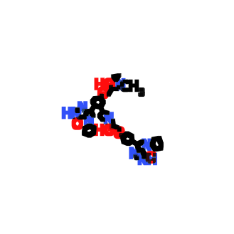 CN(CC(O)COc1ccc(-c2cn(-c3ccccc3)c3c(=O)[nH]cnc23)c(C2CCN(CC(O)COc3ccc(-c4cn(-c5ccccc5)c5c(=O)[nH]cnc45)cc3)C2)c1)C1CC1